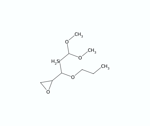 CCCOC([SiH2]C(OC)OC)C1CO1